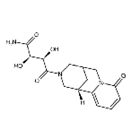 NC(=O)[C@H](O)[C@@H](O)C(=O)N1CC2C[C@@H](C1)c1cccc(=O)n1C2